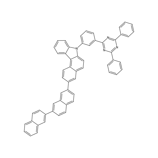 c1ccc(-c2nc(-c3ccccc3)nc(-c3cccc(-n4c5ccccc5c5c6ccc(-c7ccc8ccc(-c9ccc%10ccccc%10c9)cc8c7)cc6ccc54)c3)n2)cc1